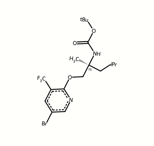 CC(C)C[C@@](C)(COc1ncc(Br)cc1C(F)(F)F)NC(=O)OC(C)(C)C